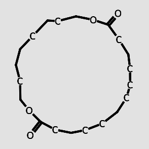 O=C1CCCCCCCCCCC(=O)OCCCCCCCCO1